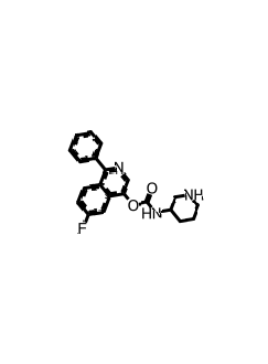 O=C(NC1CCCNC1)Oc1cnc(-c2ccccc2)c2ccc(F)cc12